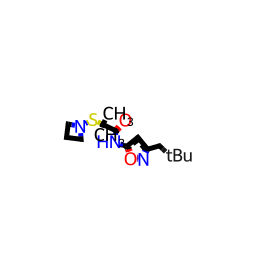 CC(C)(C)Cc1cc(NC(=O)C(C)(C)SN2CCC2)on1